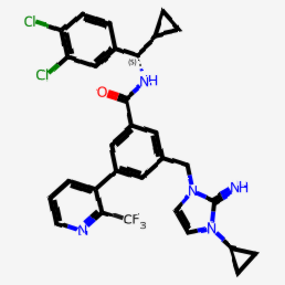 N=c1n(Cc2cc(C(=O)N[C@H](c3ccc(Cl)c(Cl)c3)C3CC3)cc(-c3cccnc3C(F)(F)F)c2)ccn1C1CC1